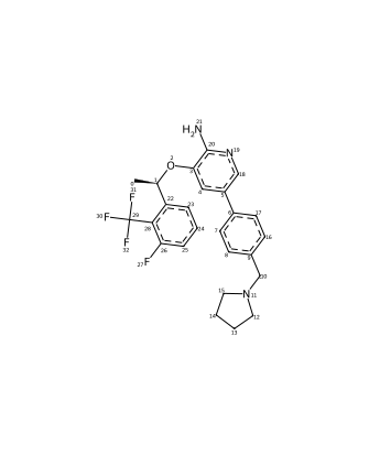 C[C@@H](Oc1cc(-c2ccc([CH]N3CCCC3)cc2)cnc1N)c1cccc(F)c1C(F)(F)F